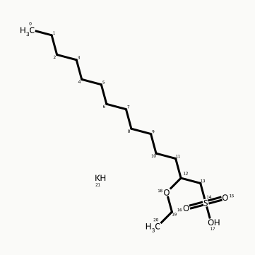 CCCCCCCCCCCCC(CS(=O)(=O)O)OCC.[KH]